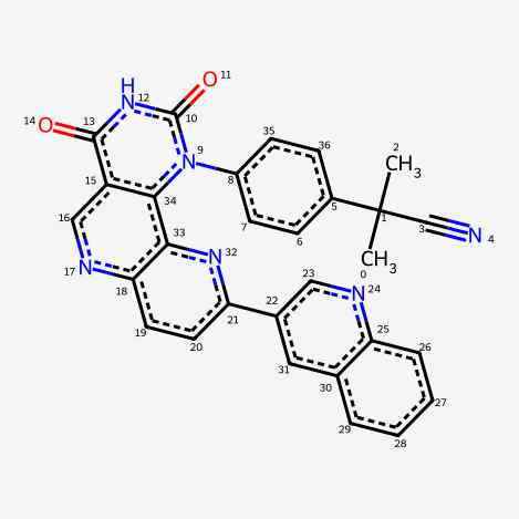 CC(C)(C#N)c1ccc(-n2c(=O)[nH]c(=O)c3cnc4ccc(-c5cnc6ccccc6c5)nc4c32)cc1